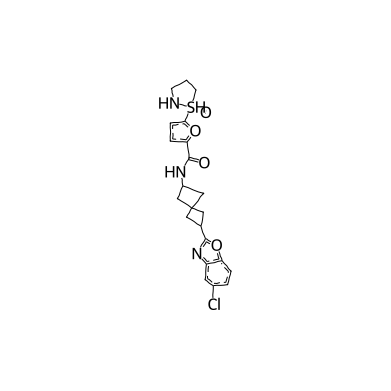 O=C(NC1CC2(C1)CC(c1nc3cc(Cl)ccc3o1)C2)c1ccc([SH]2(=O)CCCN2)o1